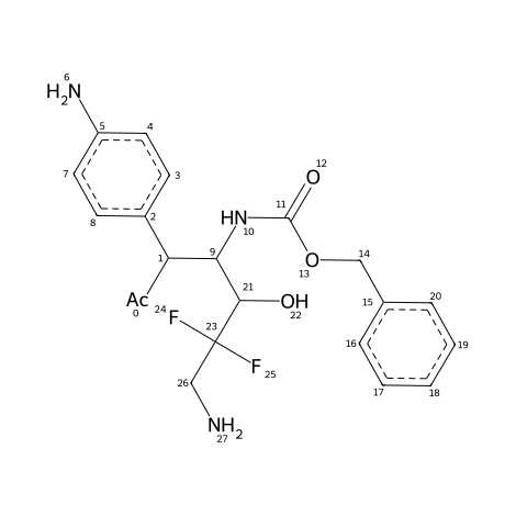 CC(=O)C(c1ccc(N)cc1)C(NC(=O)OCc1ccccc1)C(O)C(F)(F)CN